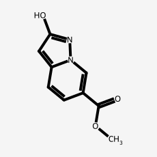 COC(=O)c1ccc2cc(O)nn2c1